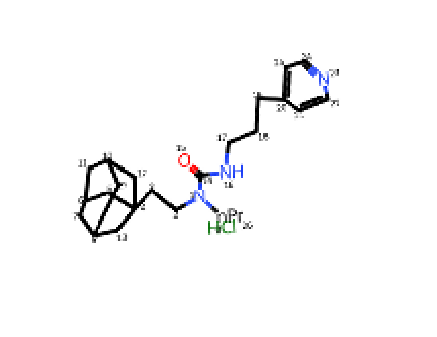 CCCN(CCC12CC3CC(CC(C3)C1)C2)C(=O)NCCCc1ccncc1.Cl